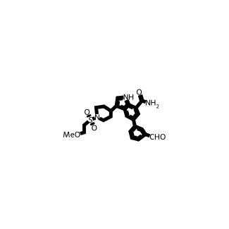 COCCS(=O)(=O)N1CCC(c2c[nH]c3c(C(N)=O)cc(-c4cccc(C=O)c4)cc23)CC1